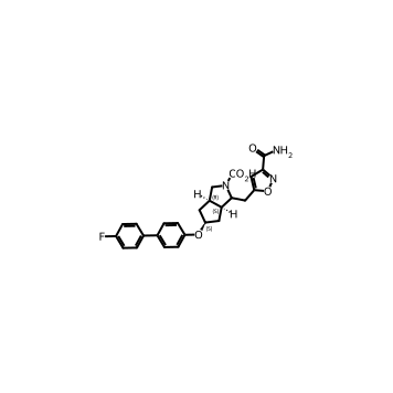 NC(=O)c1cc(CC2[C@H]3C[C@@H](Oc4ccc(-c5ccc(F)cc5)cc4)C[C@H]3CN2C(=O)O)on1